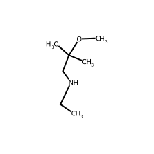 CCNCC(C)(C)OC